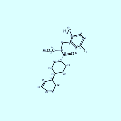 CCOC(=O)C(Cc1cc(I)ccc1C)C(=O)[C@H]1CC[C@H](C2C=CC=CC2)CC1